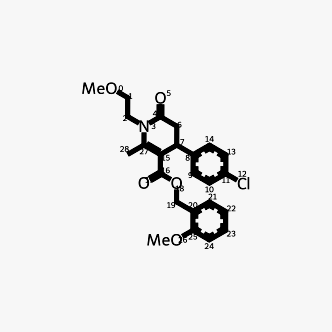 COCCN1C(=O)CC(c2ccc(Cl)cc2)C(C(=O)OCc2ccccc2OC)=C1C